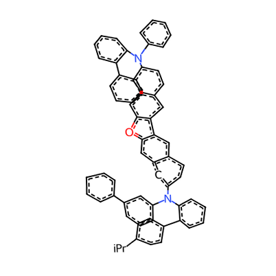 CC(C)c1ccc(-c2ccccc2N(c2cccc(-c3ccccc3)c2)c2ccc3cc4c(cc3c2)oc2cc3cc(N(c5ccccc5)c5ccccc5-c5ccccc5)ccc3cc24)cc1